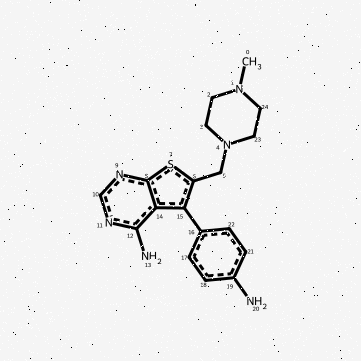 CN1CCN(Cc2sc3ncnc(N)c3c2-c2ccc(N)cc2)CC1